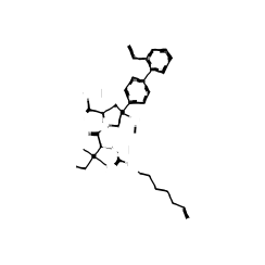 C=CCCCCCOC(=O)N[C@H](C(=O)N1CC(OC)(c2ccc(-c3ccccc3C=C)cc2)CC1C(=O)O)C(C)(C)CC